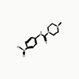 CN1CCN(C(=S)Nc2ccc([N+](=O)[O-])cc2)CC1